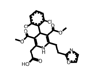 COC(=O)C1=C(CCc2ncco2)NC(CC(=O)O)=C(C(=O)OC)C1c1c(Cl)cccc1Cl